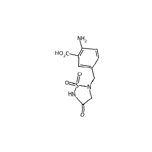 Nc1ccc(CN2CC(=O)NS2(=O)=O)cc1C(=O)O